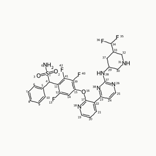 NS(=O)(=O)C(c1ccccc1)c1c(F)cc(Oc2ncccc2-c2ccnc(NC3CNCC(C(F)F)C3)n2)c(F)c1F